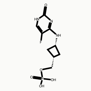 O=c1nc(N[C@H]2C[C@@H](COP(=O)(O)O)C2)c(F)c[nH]1